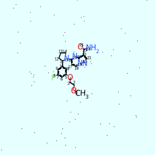 COCCOc1cc(F)cc(C2CCCN2c2ccn3ncc(C(N)=O)c3n2)c1